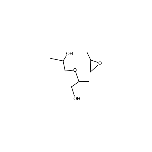 CC(O)COC(C)CO.CC1CO1